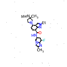 CCn1cc2c(N3CC[C@](C)(NC)C3)ccc(C(=O)Nc3cc(F)c4nc(C)cn4c3)c2n1